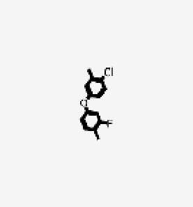 Cc1ccc(Oc2ccc(Cl)c(C)c2)cc1F